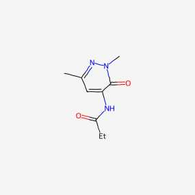 CCC(=O)Nc1cc(C)nn(C)c1=O